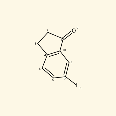 O=C1CCc2ccc(I)cc21